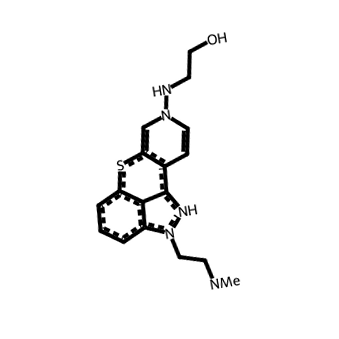 CNCCn1[nH]c2c3c(sc4cccc1c4-2)=CN(NCCO)C=C3